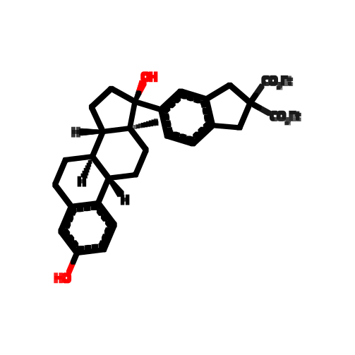 CCOC(=O)C1(C(=O)OCC)Cc2ccc([C@@]3(O)CC[C@H]4[C@@H]5CCc6cc(O)ccc6[C@H]5CC[C@@]43C)cc2C1